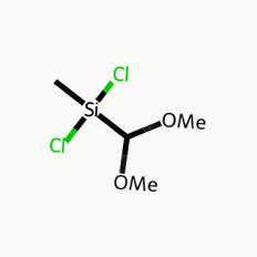 COC(OC)[Si](C)(Cl)Cl